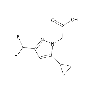 O=C(O)Cn1nc(C(F)F)cc1C1CC1